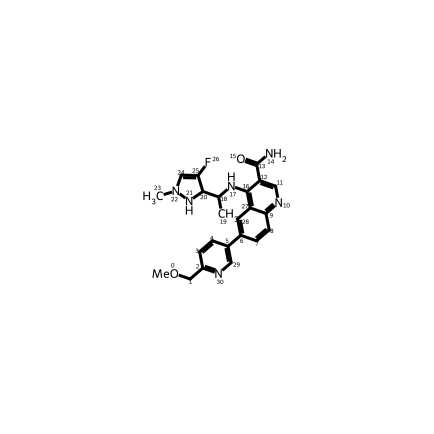 COCc1ccc(-c2ccc3ncc(C(N)=O)c(NC(C)C4NN(C)C=C4F)c3c2)cn1